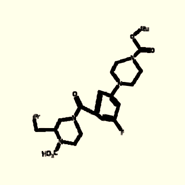 CC(C)CC1CN(C(=O)c2cc(F)cc(N3CCN(C(=O)OC(C)(C)C)CC3)c2)CCN1C(=O)O